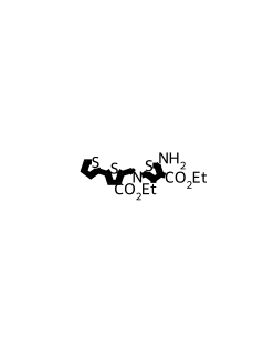 CCOC(=O)c1c(N)sc(N=Cc2ccc(-c3cccs3)s2)c1C(=O)OCC